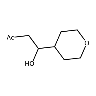 CC(=O)CC(O)C1CCOCC1